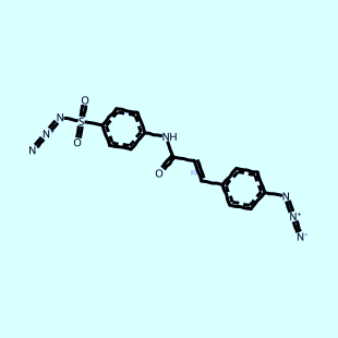 [N-]=[N+]=Nc1ccc(/C=C/C(=O)Nc2ccc(S(=O)(=O)N=[N+]=[N-])cc2)cc1